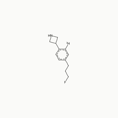 [2H]c1cc(CCCF)ccc1C1CNC1